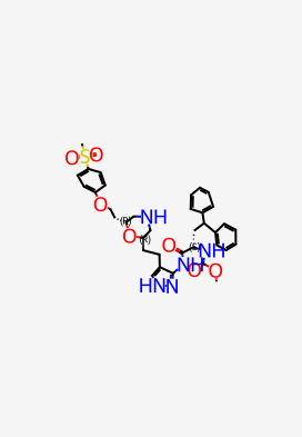 COC(=O)N[C@@H](CC(c1ccccc1)c1ccccc1)C(=O)Nc1n[nH]cc1CC[C@@H]1CNC[C@@H](CCOc2ccc(S(C)(=O)=O)cc2)O1